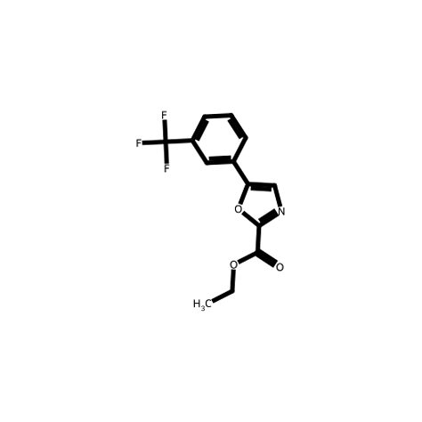 CCOC(=O)c1ncc(-c2cccc(C(F)(F)F)c2)o1